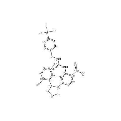 O=C(NCc1ccc(C(F)(F)F)cc1)Nc1nc(N2CCCC2c2cc(F)ccc2F)ccc1[N+](=O)[O-]